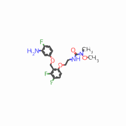 CON(C)C(=O)NCCOc1ccc(F)c(F)c1COc1ccc(F)c(N)c1